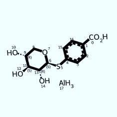 O=C(O)c1ccc(S[C@@H]2OC[C@@H](O)[C@H](O)[C@H]2O)cc1.[AlH3]